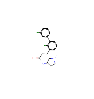 CC(O)CC(c1cccc(-c2cccc(F)c2)c1F)[C@H]1C(N)CCN1C